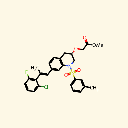 COC(=O)CO[C@@H]1Cc2ccc(/C=C(\C)c3c(F)cccc3Cl)cc2N(S(=O)(=O)c2cccc(C)c2)C1